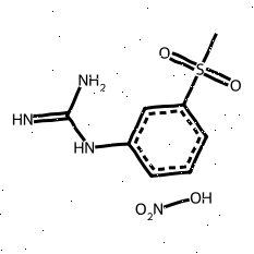 CS(=O)(=O)c1cccc(NC(=N)N)c1.O=[N+]([O-])O